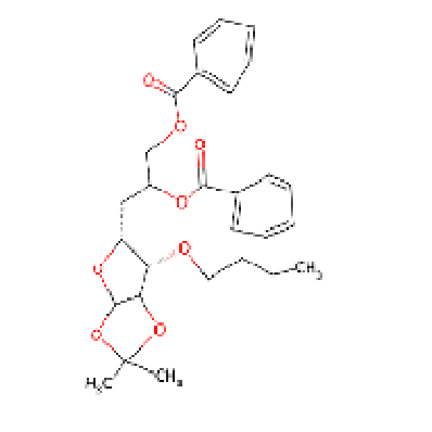 CCCCO[C@@H]1C2OC(C)(C)OC2O[C@@H]1CC(COC(=O)c1ccccc1)OC(=O)c1ccccc1